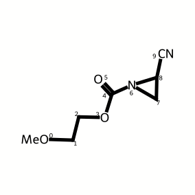 COCCOC(=O)N1CC1C#N